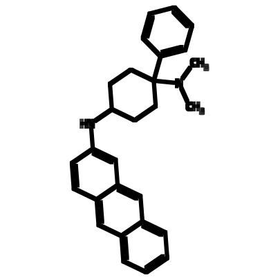 CN(C)C1(c2ccccc2)CCC(Nc2ccc3cc4ccccc4cc3c2)CC1